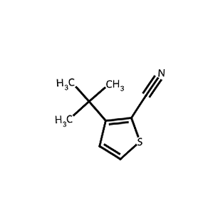 CC(C)(C)c1ccsc1C#N